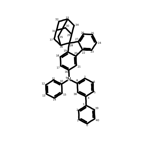 c1ccc(-c2cccc(N(c3ccccc3)c3ccc4c(c3)-c3ccccc3C43C4CC5CC(C4)CC3C5)c2)cc1